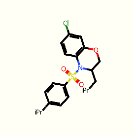 CC(C)CC1COc2cc(Cl)ccc2N1S(=O)(=O)c1ccc(C(C)C)cc1